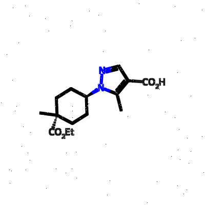 CCOC(=O)[C@]1(C)CC[C@@H](n2ncc(C(=O)O)c2C)CC1